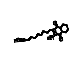 CCCCCCCCCCCCCCCCCCOC(=O)C1CCCCC1C(=O)OCCC